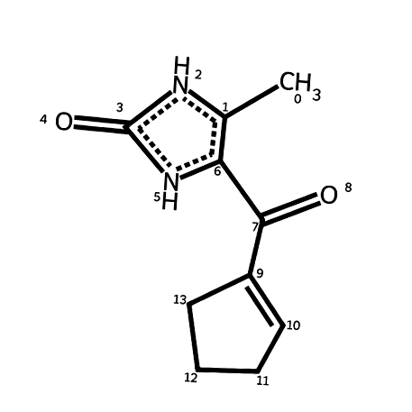 Cc1[nH]c(=O)[nH]c1C(=O)C1=CCCC1